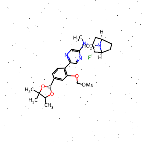 COCOc1cc(B2OC(C)C(C)(C)O2)ccc1-c1cnc(N(C)[C@@H]2C[C@H]3CC[C@@H]([C@@H]2F)N3C(=O)O)cn1